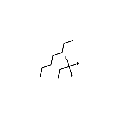 CCC(F)(F)F.CCCCCCC